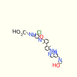 Cc1c(Nc2nccc3cc(CN4CCC(O)C4)cnc23)cccc1-c1cccc(-c2nc3cc(CNCCC(=O)O)cc(Cl)c3o2)c1C